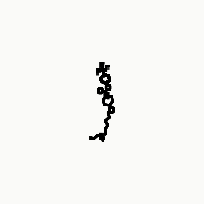 C=CCN(C)CCCCCCOC1CCN(C(=O)Oc2ccc(C(F)(F)F)cc2)CC1